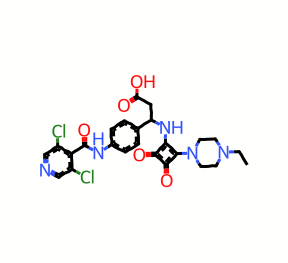 CCN1CCN(c2c(NC(CC(=O)O)c3ccc(NC(=O)c4c(Cl)cncc4Cl)cc3)c(=O)c2=O)CC1